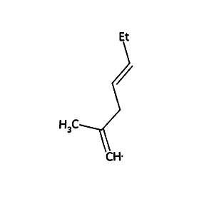 [CH]=C(C)CC=CCC